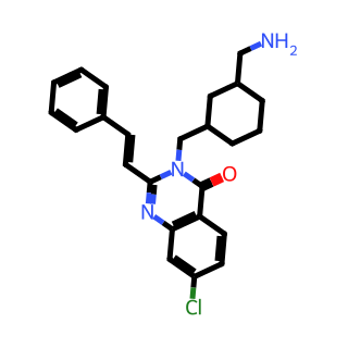 NCC1CCCC(Cn2c(C=Cc3ccccc3)nc3cc(Cl)ccc3c2=O)C1